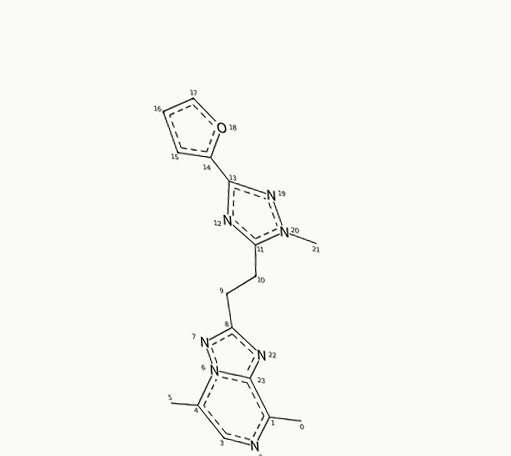 Cc1ncc(C)n2nc(CCc3nc(-c4ccco4)nn3C)nc12